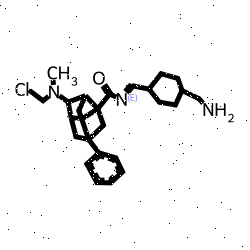 CN(CCl)C1C2CC3(c4ccccc4)CC1C(C(=O)/N=C/C1CCC(CN)CC1)(C2)C3